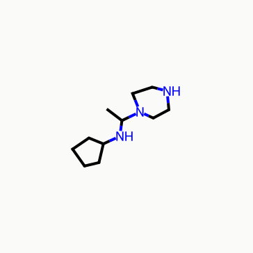 CC(NC1CCCC1)N1CCNCC1